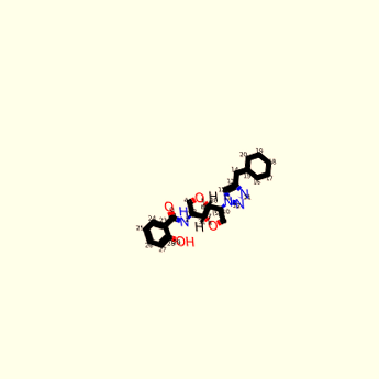 O=C(N[C@H]1CO[C@H]2[C@@H]1OC[C@@H]2n1cc(CC2CCCCC2)nn1)c1ccccc1O